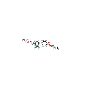 C/C=C/OC1CCC(c2ccc(CCOC)c(F)c2F)CC1